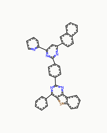 c1ccc(-c2nc(-c3ccc(-c4nc(-c5ccc6ccccc6c5)cc(-c5ccccn5)n4)cc3)nc3c2sc2ccccc23)cc1